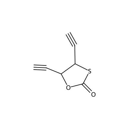 C#CC1OC(=O)SC1C#C